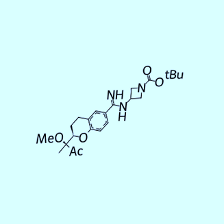 CO[C@](C)(C(C)=O)[C@H]1CCc2cc(C(=N)NC3CN(C(=O)OC(C)(C)C)C3)ccc2O1